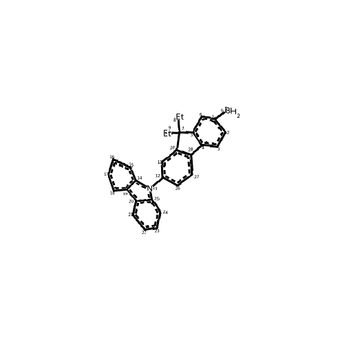 Bc1ccc2c(c1)C(CC)(CC)c1cc(-n3c4ccccc4c4ccccc43)ccc1-2